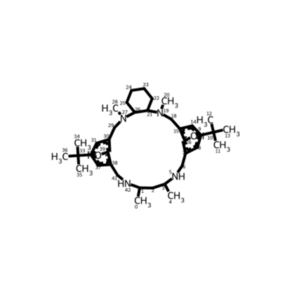 CC1CC(C)NCc2cc(C(C)(C)C)cc(c2O)CN(C)C2CCCCC2N(C)Cc2cc(C(C)(C)C)cc(c2O)CN1